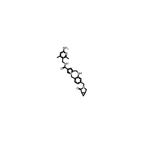 Cc1cc(N)nc(C)c1CNC(=O)c1cc2n(c1)Cc1ccc(CN3CC4CC4C3=O)cc1NC2